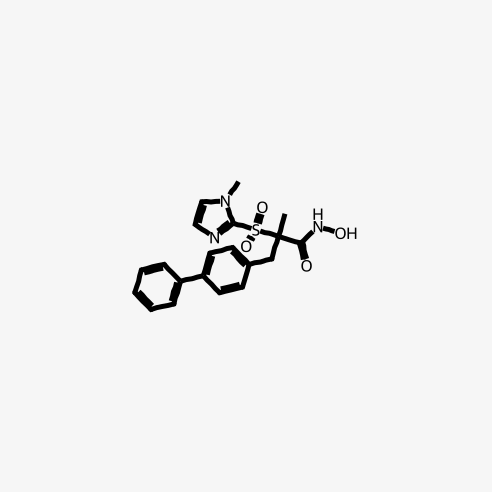 Cn1ccnc1S(=O)(=O)C(C)(Cc1ccc(-c2ccccc2)cc1)C(=O)NO